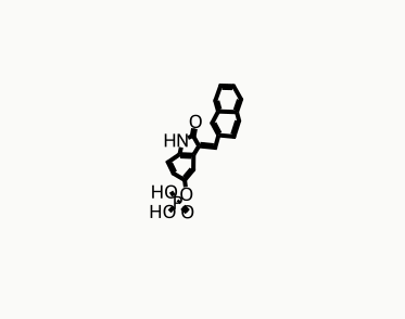 O=C1Nc2ccc(OP(=O)(O)O)cc2C1=Cc1ccc2ccccc2c1